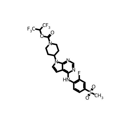 CS(=O)(=O)c1ccc(Nc2ncnc3c2ccn3C2CCN(C(=O)OC(C(F)(F)F)C(F)(F)F)CC2)c(F)c1